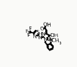 COc1ccccc1CNC(=Nc1nc(C(F)(F)F)cs1)N/C(=C\C(=O)O)C(=O)O